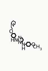 COc1ccc(Nc2ccnc(Nc3ccc(OCCN4CCCC4)cc3)n2)cc1